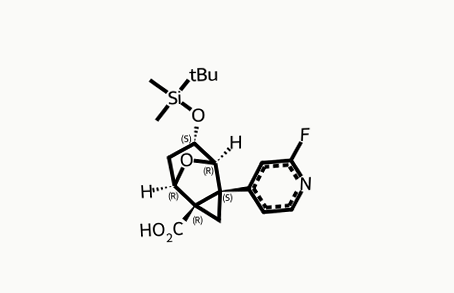 CC(C)(C)[Si](C)(C)O[C@H]1C[C@H]2O[C@@H]1[C@]1(c3ccnc(F)c3)C[C@]21C(=O)O